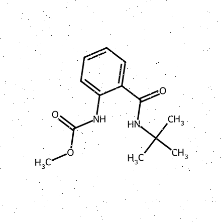 COC(=O)Nc1ccccc1C(=O)NC(C)(C)C